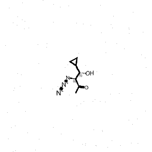 CC(=O)[C@@H](N=[N+]=[N-])[C@@H](O)C1CC1